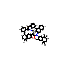 Cc1cc2c(cc1N1c3cc4ccccc4c4c3B3c5c1oc1cc6c(cc51)C(C)(CCC6(C)C)c1cccc5sc6c7cccc-4c7n3c6c15)C(C)(C)CCC2(C)C